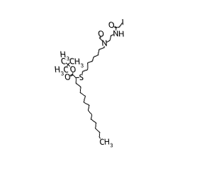 CCCCCCCCCCCCCCC(SCCCCCCCCN(C=O)CCNC(=O)CI)C(=O)OC(C)(C)C